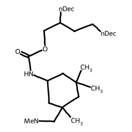 CCCCCCCCCCCCC(CCCCCCCCCC)COC(=O)NC1CC(C)(C)CC(C)(CNC)C1